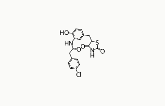 O=C(Cc1ccc(Cl)cc1)Nc1cc(CC2SC(=O)NC2=O)ccc1O